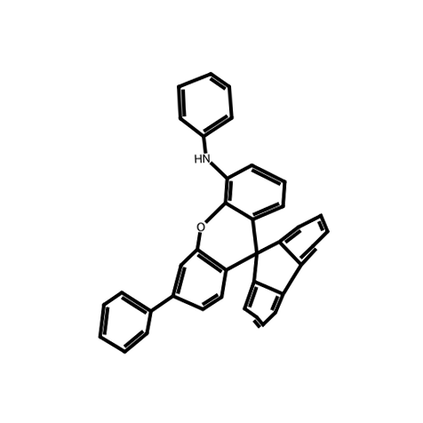 c1ccc(Nc2cccc3c2Oc2cc(-c4ccccc4)ccc2C32c3ccccc3-c3ccccc32)cc1